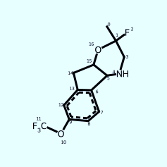 CC1(F)CNC2c3ccc(OC(F)(F)F)cc3CC2O1